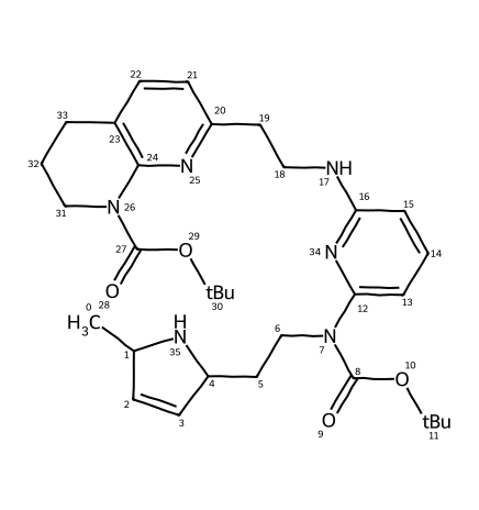 CC1C=CC(CCN(C(=O)OC(C)(C)C)c2cccc(NCCc3ccc4c(n3)N(C(=O)OC(C)(C)C)CCC4)n2)N1